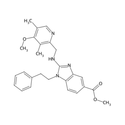 COC(=O)c1ccc2c(c1)nc(NCc1ncc(C)c(OC)c1C)n2CCc1ccccc1